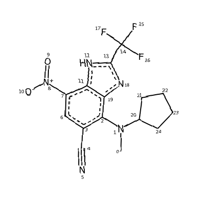 CN(c1c(C#N)cc([N+](=O)[O-])c2[nH]c(C(F)(F)F)nc12)C1CCCC1